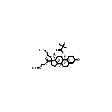 CSCOC(=O)[C@@]1(OCSC)CC[C@H]2[C@@H]3CCC4=CC(=O)CC[C@]4(C)[C@H]3[C@@H](OC(=O)C(F)(F)F)C[C@@]21C